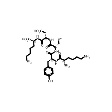 CC(C)C[C@H](NC(=O)[C@H](Cc1ccc(O)cc1)NC(=O)[C@@H](N)CCCCN)C(=O)N[C@@H](CC(=O)O)C(=O)N[C@@H](CCCCN)C(=O)O